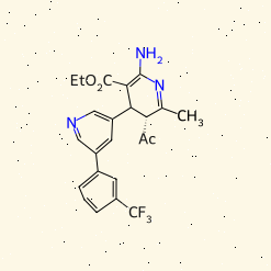 CCOC(=O)C1=C(N)N=C(C)[C@H](C(C)=O)C1c1cncc(-c2cccc(C(F)(F)F)c2)c1